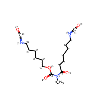 CN(C(=O)CCCCCCN=C=O)C(=O)OCCCCCCN=C=O